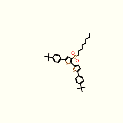 CCCCCCCCS(=O)(=O)c1cc(-c2ccc(C(C)(C)C)cc2)sc1-c1ccc(-c2ccc(C(C)(C)C)cc2)s1